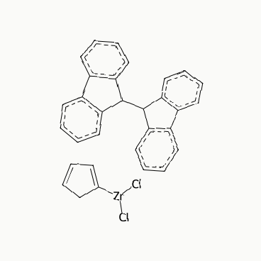 [Cl][Zr]([Cl])[C]1=CC=CC1.c1ccc2c(c1)-c1ccccc1C2C1c2ccccc2-c2ccccc21